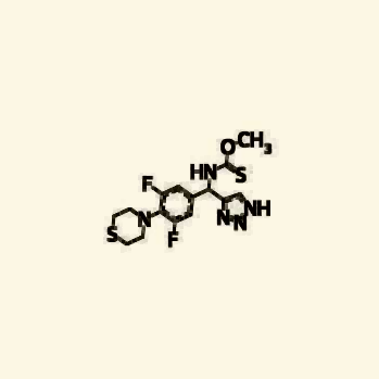 COC(=S)NC(c1cc(F)c(N2CCSCC2)c(F)c1)c1c[nH]nn1